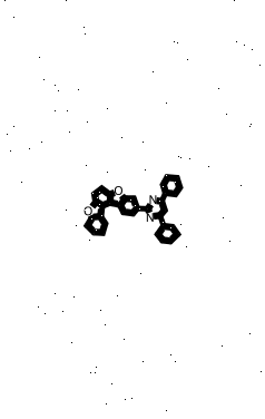 c1ccc(-c2cc(-c3ccccc3)nc(-c3ccc4c(c3)oc3ccc5oc6ccccc6c5c34)n2)cc1